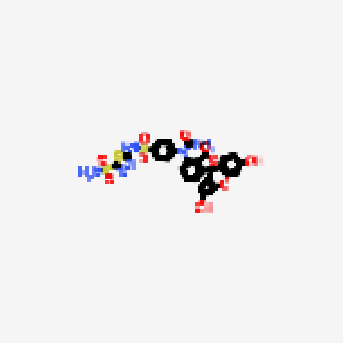 NC(=O)N(c1ccc(S(=O)(=O)Nc2nnc(S(N)(=O)=O)s2)cc1)c1cccc2c1C(=O)OC21c2ccc(O)cc2Oc2cc(O)ccc21